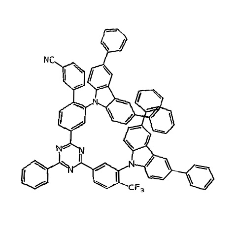 N#Cc1cccc(-c2ccc(-c3nc(-c4ccccc4)nc(-c4ccc(C(F)(F)F)c(-n5c6ccc(-c7ccccc7)cc6c6cc(-c7ccccc7)ccc65)c4)n3)cc2-n2c3ccc(-c4ccccc4)cc3c3cc(-c4ccccc4)ccc32)c1